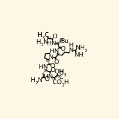 CC[C@H](C)[C@H](NC(=O)[C@H](C)N)C(=O)N[C@@H](CCCNC(=N)N)C(=O)N1CCC[C@H]1C(=O)N[C@@H](CC(N)=O)C(=O)N[C@H](C(=O)O)[C@@H](C)O